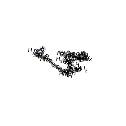 CCCCCCN(C(=O)[C@@H](NC(=O)[C@H]1CCCCN1C)[C@@H](C)CC)[C@H](C[C@@H](OC(C)=O)c1nc(C(=O)N[C@@H](Cc2ccc(F)cc2)CC(C)(C)C(=O)NS(=O)(=O)c2ccc(NC(=O)[C@H](CCCNC(N)=O)NC(=O)[C@@H](NC(=O)CCOCCOCCOCCOCCNC(=O)CCC(=O)N3Cc4ccccc4/C=C(/C)c4ccccc43)C(C)C)cc2)cs1)C(C)C